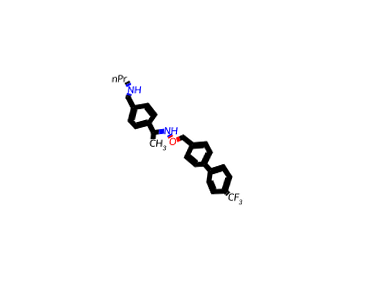 CCCNCc1ccc(C(C)NOCc2ccc(-c3ccc(C(F)(F)F)cc3)cc2)cc1